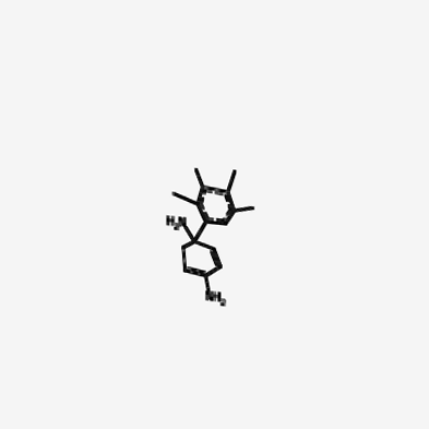 Cc1cc(C2(N)C=CC(N)=CC2)c(C)c(C)c1C